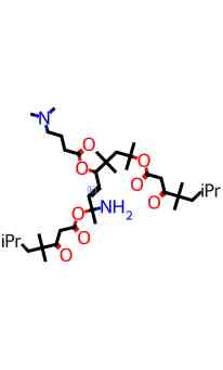 CC(C)CC(C)(C)C(=O)CC(=O)OC(C)(N)/C=C/C(OC(=O)CCCN(C)C)C(C)(C)CC(C)(C)OC(=O)CC(=O)C(C)(C)CC(C)C